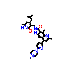 Cc1cc(-c2ccc(N3CCN(C)CC3)nc2)c2ccc(C(=O)NCc3c(CC(C)C)cc(C)[nH]c3=O)c(C)c2n1